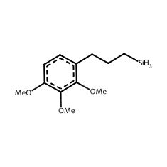 COc1ccc(CCC[SiH3])c(OC)c1OC